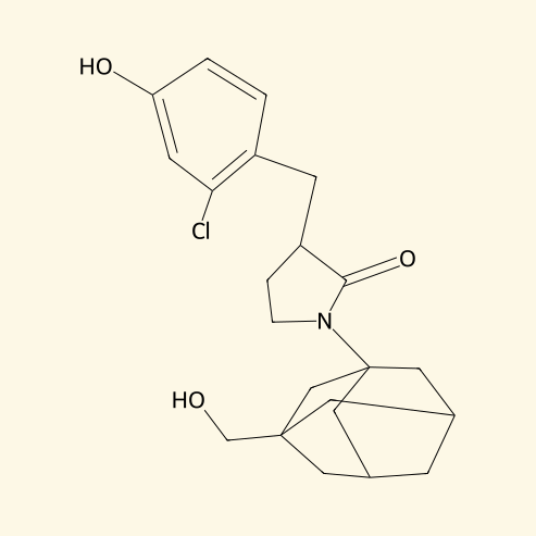 O=C1C(Cc2ccc(O)cc2Cl)CCN1C12CC3CC(CC(CO)(C3)C1)C2